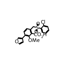 COc1c(-c2ccoc2)ccc(CS(=O)(=O)c2ccccc2Cl)c1C(=O)O